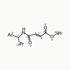 CC(=O)C(NC(=O)/C=C/C(=O)OC(C)C)C(C)C